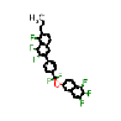 CCCc1ccc2cc(-c3ccc(C(F)(F)Oc4ccc5c(F)c(F)c(F)cc5c4)cc3)c(F)c(F)c2c1F